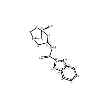 O=C(N[C@@H]1C[C@H]2CCN(C2)C1)c1nc2ccccc2s1